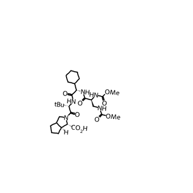 COC(=O)NC[C@H](NC(=O)OC)C(=O)N[C@H](C(=O)N[C@H](C(=O)N1CC2CCC[C@@H]2[C@H]1C(=O)O)C(C)(C)C)C1CCCCC1